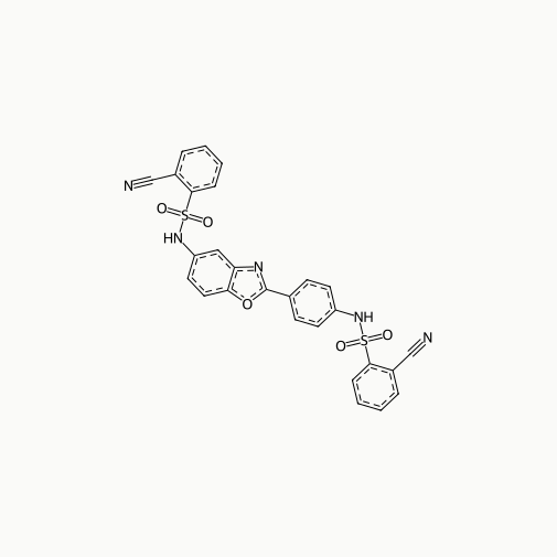 N#Cc1ccccc1S(=O)(=O)Nc1ccc(-c2nc3cc(NS(=O)(=O)c4ccccc4C#N)ccc3o2)cc1